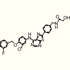 O=C(CO)NCc1ccc(-c2nc3c(Nc4ccc(OCc5cccc(F)c5)c(Cl)c4)ncnc3s2)cc1